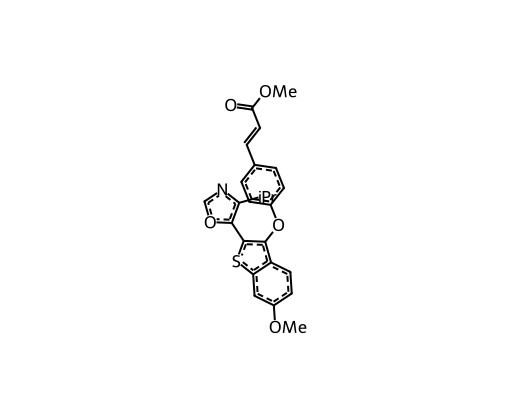 COC(=O)C=Cc1ccc(Oc2c(-c3ocnc3C(C)C)sc3cc(OC)ccc23)cc1